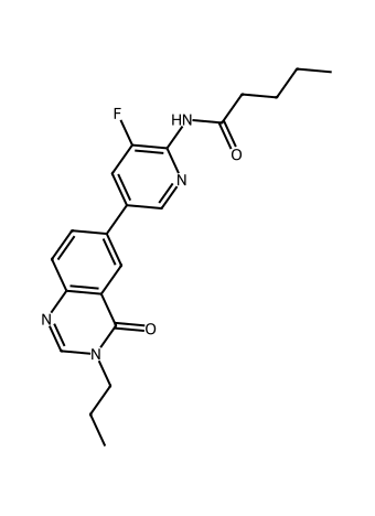 CCCCC(=O)Nc1ncc(-c2ccc3ncn(CCC)c(=O)c3c2)cc1F